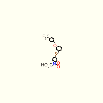 O=C(O)Cn1c(=O)oc2cc(SCc3cccc(OCc4ccc(C(F)(F)F)cc4)c3)ccc21